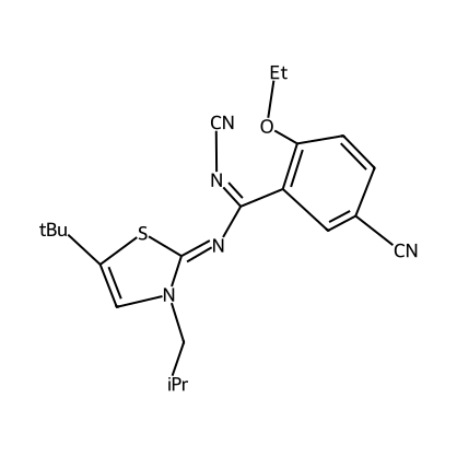 CCOc1ccc(C#N)cc1C(/N=c1\sc(C(C)(C)C)cn1CC(C)C)=N\C#N